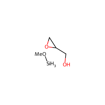 CO[SiH3].OCC1CO1